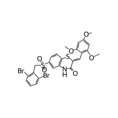 COc1cc(OC)c(C=C2Sc3ccc(S(=O)(=O)Cc4c(Br)cccc4Br)cc3NC2=O)c(OC)c1